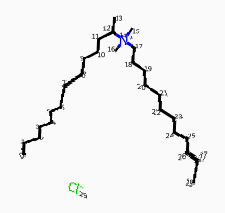 CCCCCCCCCCCCC(C)[N+](C)(C)CCCCCCCCCCCC.[Cl-]